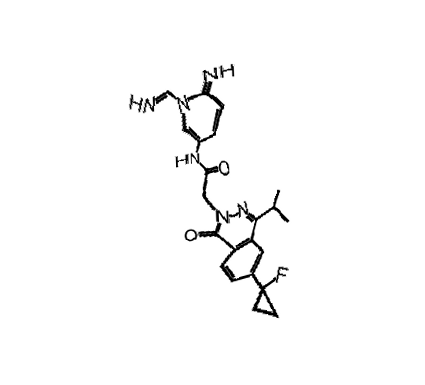 CC(C)c1nn(CC(=O)Nc2ccc(=N)n(C=N)c2)c(=O)c2ccc(C3(F)CC3)cc12